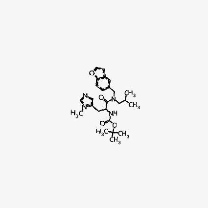 CC(C)CN(Cc1ccc2occc2c1)C(=O)C(Cc1cncn1C)NC(=O)OC(C)(C)C